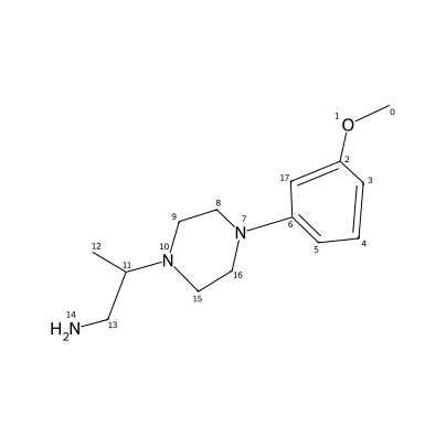 COc1cccc(N2CCN(C(C)CN)CC2)c1